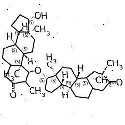 CC1C[C@@]2(C)C(CC[C@H]3[C@@H]4CC[C@H](OC5C(C)C(=O)CC6CC[C@@H]7[C@H](CC[C@]8(C)[C@@H](O)CC[C@@H]78)[C@]65C)[C@@]4(C)CC[C@@H]32)CC1=O